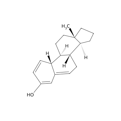 C[C@@]12CCC[C@H]1[C@@H]1CC=C3C=C(O)C=C[C@@H]3[C@H]1CC2